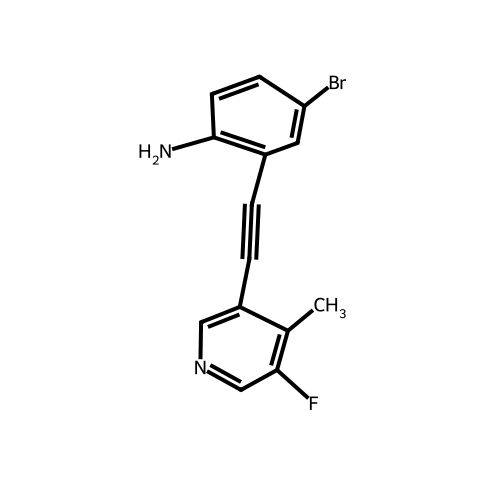 Cc1c(F)cncc1C#Cc1cc(Br)ccc1N